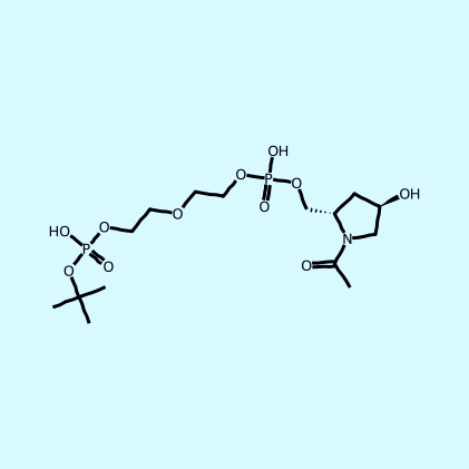 CC(=O)N1C[C@H](O)C[C@H]1COP(=O)(O)OCCOCCOP(=O)(O)OC(C)(C)C